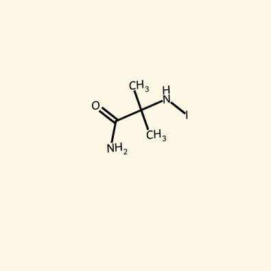 CC(C)(NI)C(N)=O